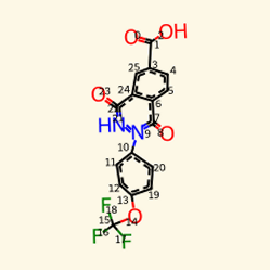 O=C(O)c1ccc2c(=O)n(-c3ccc(OC(F)(F)F)cc3)[nH]c(=O)c2c1